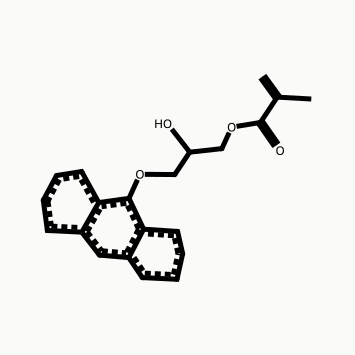 C=C(C)C(=O)OCC(O)COc1c2ccccc2cc2ccccc12